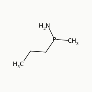 CCCP(C)N